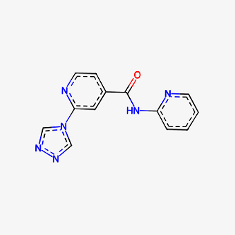 O=C(Nc1ccccn1)c1ccnc(-n2cnnc2)c1